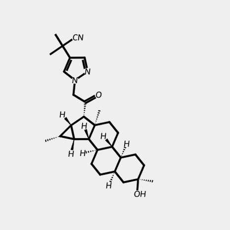 C[C@H]1[C@@H]2[C@H]1[C@H](C(=O)Cn1cc(C(C)(C)C#N)cn1)[C@@]1(C)CC[C@H]3[C@@H](CC[C@@H]4C[C@](C)(O)CC[C@@H]43)[C@H]21